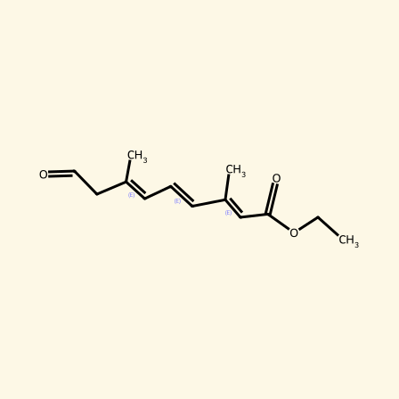 CCOC(=O)/C=C(C)/C=C/C=C(\C)CC=O